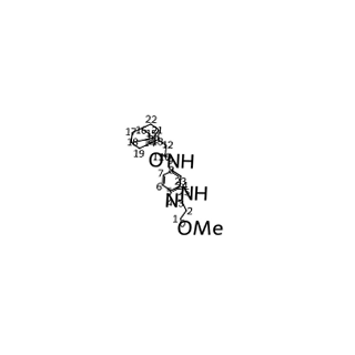 COCCc1nc2ccc(NC(=O)CC3C4CC5CC(C4)CC3C5)cc2[nH]1